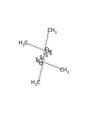 CCCCCCCCCCCCC1(CCCCCCCCCCCC)Oc2ccsc2-c2sc(-c3cc4c(s3)-c3sccc3OC4(CCCCCCCCCCCC)CCCCCCCCCCCC)cc21